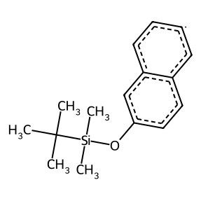 CC(C)(C)[Si](C)(C)Oc1ccc2c[c]ccc2c1